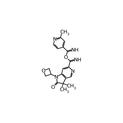 Cc1cc(C(=N)OC(=N)c2cc3c(cn2)C(C)(C)C(=O)N3C2COC2)ccn1